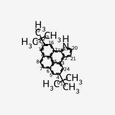 CC(C)(C)c1cc2ccc3cc(C(C)(C)C)cc4c5[nH]ccc5c(c1)c2c34